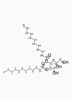 CCCCCCCCCCCC(=O)OC(CO)C(CC(O)CO)OC(=O)CCCCCCCCCCC